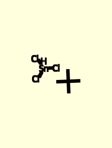 CC(C)(C)C.[Cl][SnH]([Cl])[Cl]